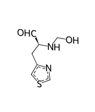 O=C[C@H](Cc1cscn1)NCO